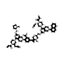 C=CC(=O)N1CCN(c2nc(OC[C@@H]3CCCN3C)nc3c2CCN(c2ccc(C4CC45CO[C@@H](COc4nc6c(c(N7CCN(C(=O)C=C)[C@@H](CC#N)C7)n4)CCN(c4cccc7ccccc47)C6)CN5C)cc2C(F)F)C3)CC1CC#N